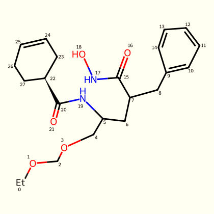 CCOCOCC(CC(Cc1ccccc1)C(=O)NO)NC(=O)[C@@H]1CC=CCC1